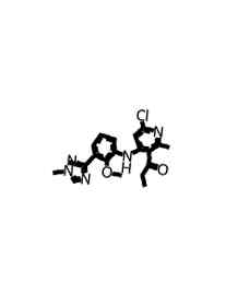 CCC(=O)c1c(Nc2cccc(-c3ncn(C)n3)c2OC)cc(Cl)nc1C